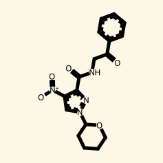 O=C(CNC(=O)c1nn(C2CCCCO2)cc1[N+](=O)[O-])c1ccccc1